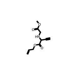 C#CC(NCC(=O)OC)C(=O)OCC=C